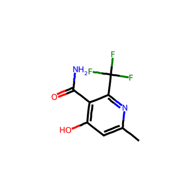 Cc1cc(O)c(C(N)=O)c(C(F)(F)F)n1